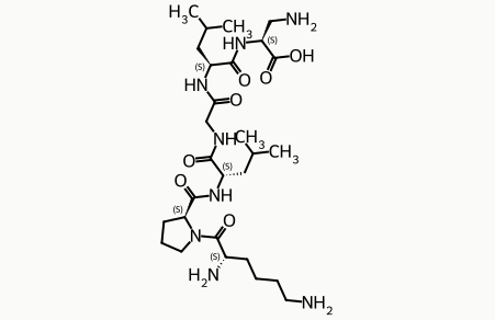 CC(C)C[C@H](NC(=O)CNC(=O)[C@H](CC(C)C)NC(=O)[C@@H]1CCCN1C(=O)[C@@H](N)CCCCN)C(=O)N[C@@H](CN)C(=O)O